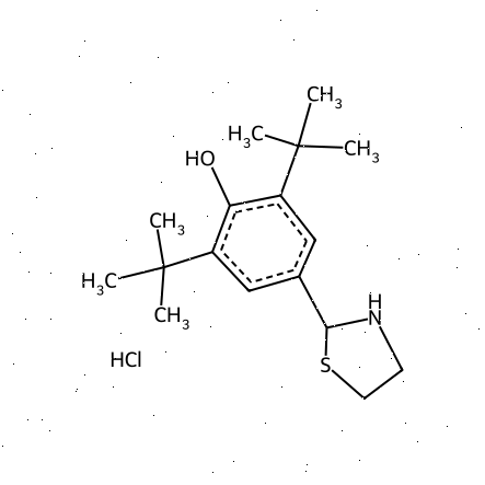 CC(C)(C)c1cc(C2NCCS2)cc(C(C)(C)C)c1O.Cl